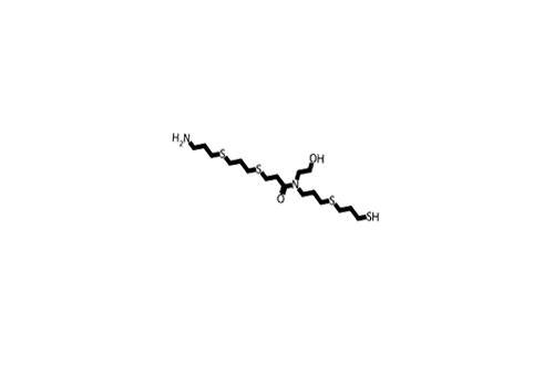 NCCCSCCCSCCC(=O)N(CCO)CCCSCCCS